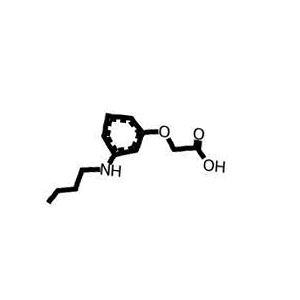 CCCCNc1cccc(OCC(=O)O)c1